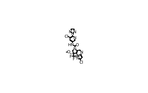 COC[C@]1(C(F)(F)F)CN(C(=O)Nc2cnc(-n3nccn3)c(Cl)c2)c2cnc3cc(Cl)nn3c21